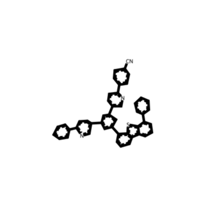 N#Cc1ccc(-c2ccc(-c3cc(-c4ccc(-c5ccccc5)nc4)cc(-c4cccc5c4sc4c(-c6ccccc6)cccc45)c3)cn2)cc1